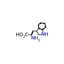 N/C(=C\C1CNc2ccccc21)C(=O)O